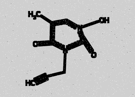 C#CCn1c(=O)c(C)cn(O)c1=O